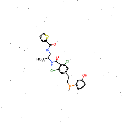 CP(CCc1cc(Cl)c(C(=O)NC(CNC(=O)c2cccs2)C(=O)O)c(Cl)c1)c1cccc(O)c1